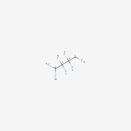 F[C]C(F)(F)C(F)(F)C(F)F